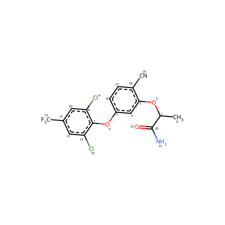 CC(Oc1cc(Oc2c(Cl)cc(C(F)(F)F)cc2Cl)ccc1C#N)C(N)=O